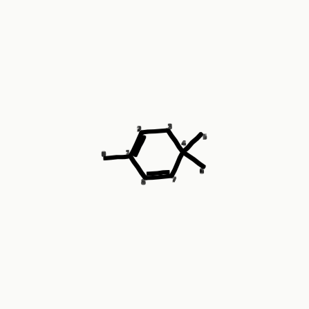 CC1=CCC(C)(C)C=C1